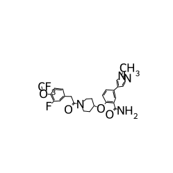 Cn1cc(-c2ccc(OC3CCN(C(=O)Cc4ccc(OC(F)(F)F)c(F)c4)CC3)c(C(N)=O)c2)cn1